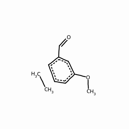 CC.COc1cccc(C=O)c1